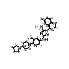 Cc1cc(Nc2nc(N)n(-c3ncnc4ccc(F)cc34)n2)cnc1N1CCC(N2CCCC2)CC1